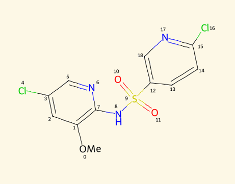 COc1cc(Cl)cnc1NS(=O)(=O)c1ccc(Cl)nc1